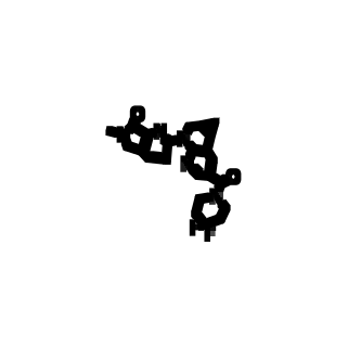 CN1Cc2ccc(N3CC4CC4c4cc(C(=O)N5CCC(F)(F)CC5)cnc43)nc2C1=O